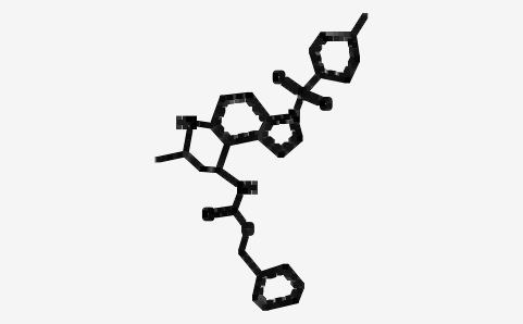 Cc1ccc(S(=O)(=O)n2ccc3c4c(ccc32)NC(C)CC4NC(=O)OCc2ccccc2)cc1